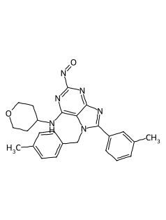 Cc1ccc(Cn2c(-c3cccc(C)c3)nc3nc(N=O)nc(NC4CCOCC4)c32)cc1